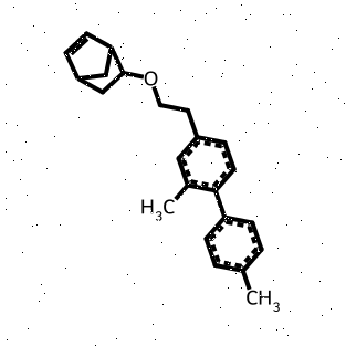 Cc1ccc(-c2ccc(CCOC3CC4C=CC3C4)cc2C)cc1